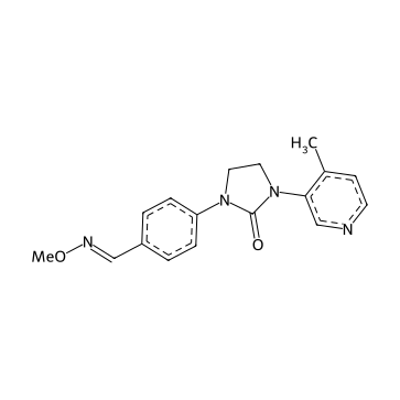 CON=Cc1ccc(N2CCN(c3cnccc3C)C2=O)cc1